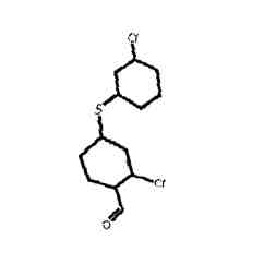 O=CC1CCC(SC2CCCC(Cl)C2)CC1Cl